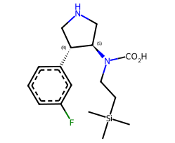 C[Si](C)(C)CCN(C(=O)O)[C@@H]1CNC[C@H]1c1cccc(F)c1